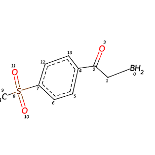 BCC(=O)c1ccc(S(C)(=O)=O)cc1